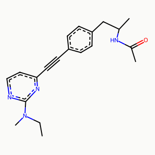 CCN(C)c1nccc(C#Cc2ccc(CC(C)NC(C)=O)cc2)n1